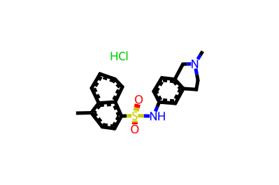 Cc1ccc(S(=O)(=O)Nc2ccc3c(c2)CCN(C)C3)c2ccccc12.Cl